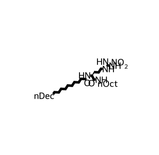 CCCCCCCCCCCCCCCCCCCC(=O)N[C@@H](CCCNC(=N)N[N+](=O)[O-])C(=O)NCCCCCCCC